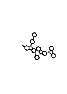 C=C1C=Cc2c(n(-c3ccc(-c4ccccc4)cc3)c3ccc(-c4ccccc4-n4c5ccccc5c5cc(-n6c7ccccc7c7ccccc76)ccc54)cc23)C1